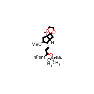 CCCCCC(/C=C/[C@H]1[C@@H]2CC3(OCCO3)[C@@H]2C[C@@H]1OC)O[Si](C)(C)C(C)(C)C